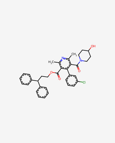 Cc1nc(C)c(C(=O)N2CCC(O)CC2)c(-c2cccc(Cl)c2)c1C(=O)OCCC(c1ccccc1)c1ccccc1